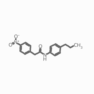 CCCc1ccc(NC(=O)Cc2ccc([N+](=O)[O-])cc2)cc1